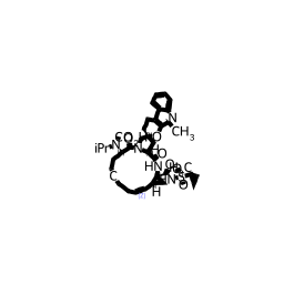 Cc1nc2ccccc2c2c1O[C@]1(CC2)C[C@H]2C(=O)N[C@]3(C(=O)NS(=O)(=O)C4(C)CC4)C[C@H]3/C=C\CCCCC[C@H](N(C(=O)O)C(C)C)C(=O)N2C1